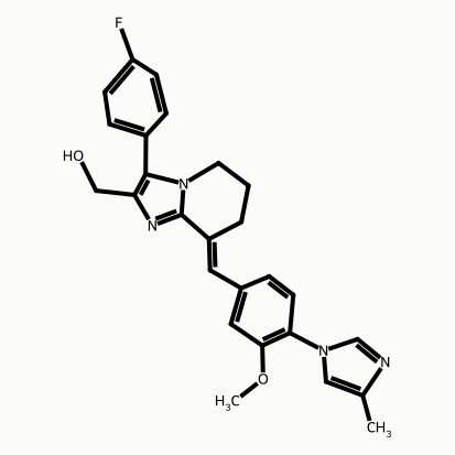 COc1cc(C=C2CCCn3c2nc(CO)c3-c2ccc(F)cc2)ccc1-n1cnc(C)c1